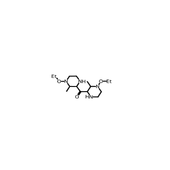 CCON1CCNC(C(=O)C2NCCN(OCC)C2C)C1C